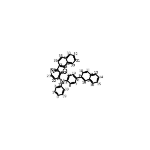 c1ccc(N(c2ccc(-c3ccc4ccccc4c3)cc2)c2ccnc3c2oc2c4ccccc4ccc32)cc1